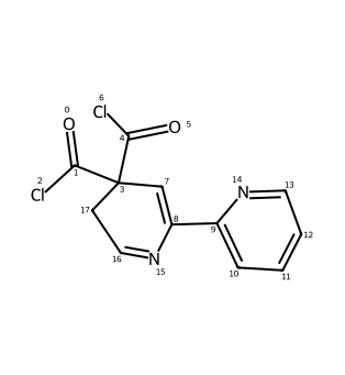 O=C(Cl)C1(C(=O)Cl)C=C(c2ccccn2)N=CC1